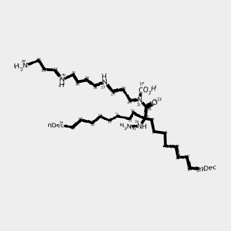 CCCCCCCCCCCCCCCCCCC(CCCCCCCCCCCCCCCCCC)(NN)C(=O)N(CCCNCCCCNCCCN)C(=O)O